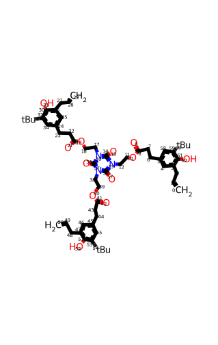 C=CCc1cc(CCC(=O)OCCn2c(=O)n(CCOC(=O)CCc3cc(CC=C)c(O)c(C(C)(C)C)c3)c(=O)n(CCOC(=O)CCc3cc(CC=C)c(O)c(C(C)(C)C)c3)c2=O)cc(C(C)(C)C)c1O